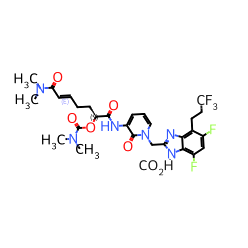 CN(C)C(=O)/C=C/CC[C@H](OC(=O)N(C)C)C(=O)Nc1cccn(Cc2nc3c(CCC(F)(F)F)c(F)cc(F)c3n2C(=O)O)c1=O